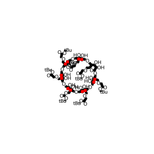 CC(C)(C)OC(=O)COCC1CC2OC3C(COCC(=O)OC(C)(C)C)OC(OC4C(COCC(=O)OC(C)(C)C)OC(OC5C(COCC(=O)OC(C)(C)C)OC(OC6C(COC(=O)OC(C)(C)C)OC(OC7C(COCC(=O)OC(C)(C)C)OC(OC8C(COCC(=O)OC(C)(C)C)OC(OC1C(O)C2O)C(O)C8O)C(O)C7O)C(O)C6O)C(O)C5O)C(O)C4O)C(O)C3O